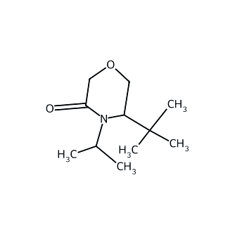 CC(C)N1C(=O)COCC1C(C)(C)C